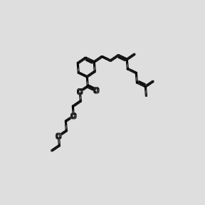 CCOCCOCCOC(=O)C1CCC=C(CCC=C(C)CCC=C(C)C)C1